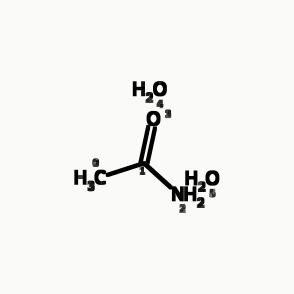 CC(N)=O.O.O